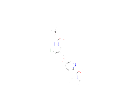 CCN(CC)C(=O)c1ccc(OCC(=CF)CNC(=O)OC(C)(C)C)cn1